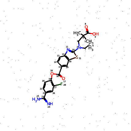 CCN(CC(C)(C)C(=O)O)c1nc2ccc(C(=O)Oc3ccc(C(=N)N)cc3F)cc2s1